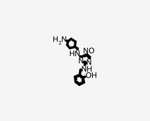 NC1CCC(CNc2nc(NCc3ccccc3O)ncc2N=O)CC1